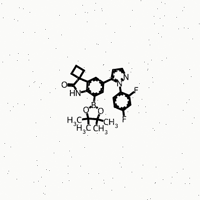 CC1(C)OB(c2cc(-c3ccnn3-c3ccc(F)cc3F)cc3c2NC(=O)C32CCC2)OC1(C)C